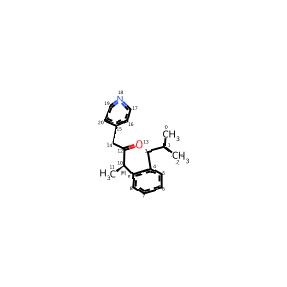 CC(C)Cc1ccccc1[C@@H](C)C(=O)Cc1ccncc1